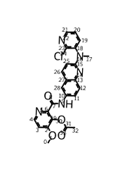 COc1ccnc(C(=O)Nc2ccc3nc(N(C)c4cccnc4Cl)ccc3c2)c1OC(C)=O